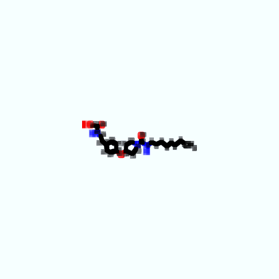 CCCCCCCCNC(=O)N1CCC(Oc2ccc(CCNC(=O)O)cc2)CC1